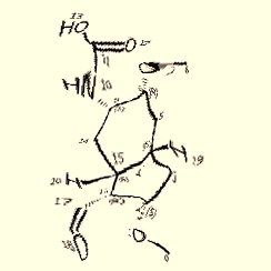 CO[C@H]1C[C@H]2C[C@@H](OC)[C@@H](NC(=O)O)C[C@H]2[C@H]1C=O